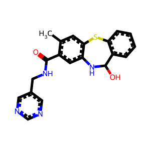 Cc1cc2c(cc1C(=O)NCc1cncnc1)NC(O)c1ccccc1S2